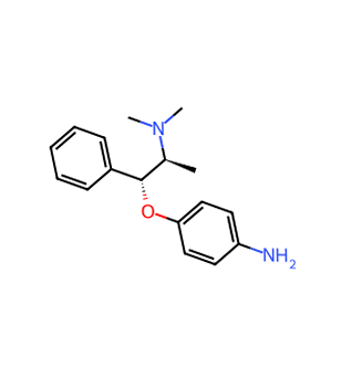 C[C@@H]([C@H](Oc1ccc(N)cc1)c1ccccc1)N(C)C